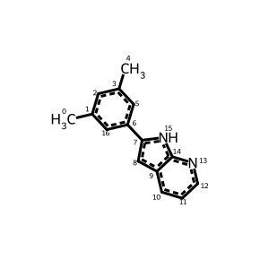 Cc1cc(C)cc(-c2cc3cccnc3[nH]2)c1